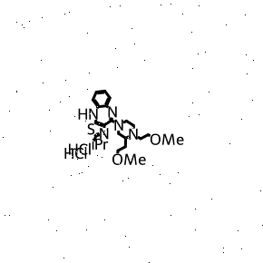 COCCC1CN(C2=Nc3ccccc3Nc3sc(C(C)C)nc32)CCN1CCOC.Cl.Cl